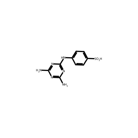 Nc1nc(N)nc(Nc2ccc(S(=O)(=O)O)cc2)n1